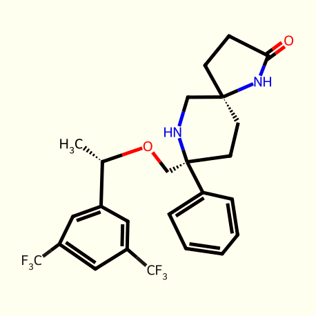 C[C@H](OC[C@@]1(c2ccccc2)CC[C@@]2(CCC(=O)N2)CN1)c1cc(C(F)(F)F)cc(C(F)(F)F)c1